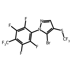 Fc1c(F)c(C(F)(F)F)c(F)c(F)c1-n1ncc(SC(F)(F)F)c1Br